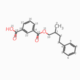 C[C](CCc1ccccc1)COC(=O)c1cccc(C(=O)O)c1